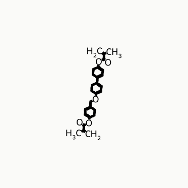 C=C(C)C(=O)OC1=CC=C(COC2=CC=C(C3=CC=C(OC(=O)C(=C)C)CC3)CC2)CC1